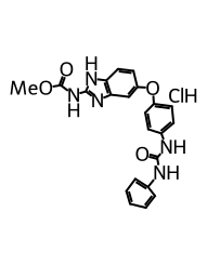 COC(=O)Nc1nc2cc(Oc3ccc(NC(=O)Nc4ccccc4)cc3)ccc2[nH]1.Cl